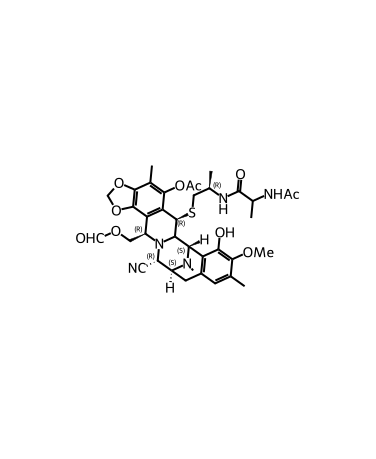 COc1c(C)cc2c(c1O)[C@H]1C3[C@H](SC[C@@H](C)NC(=O)C(C)NC(C)=O)c4c(OC(C)=O)c(C)c5c(c4[C@H](COC=O)N3[C@@H](C#N)[C@H](C2)N1C)OCO5